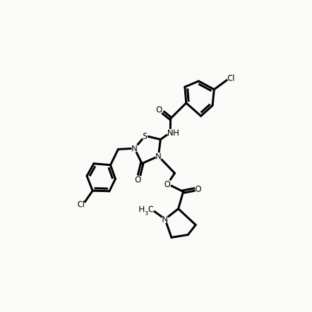 CN1CCCC1C(=O)OCN1C(=O)N(Cc2ccc(Cl)cc2)SC1NC(=O)c1ccc(Cl)cc1